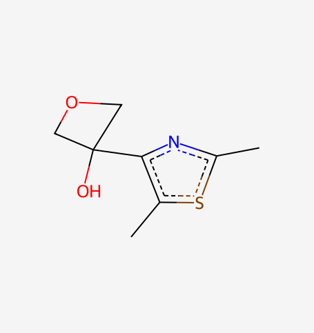 Cc1nc(C2(O)COC2)c(C)s1